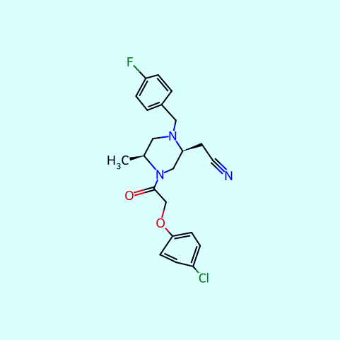 C[C@H]1CN(Cc2ccc(F)cc2)[C@@H](CC#N)CN1C(=O)COc1ccc(Cl)cc1